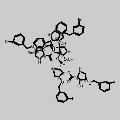 COc1cccc(CO[C@]2(OCc3ccccc3)CN[C@H](C(=O)O)[C@]2(OC(=O)[C@H]2NC[C@H](OCc3cccc(F)c3)[C@H]2OC(=O)[C@H]2NC[C@H](OCc3cccc(C)c3)[C@H]2O)OC(=O)[C@H]2NC[C@H](OCc3cccc(Cl)c3)[C@H]2OC(=O)[C@H]2NC[C@H](OCc3cccc(Br)c3)[C@H]2O)c1